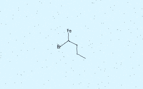 CCC[CH]([Fe])Br